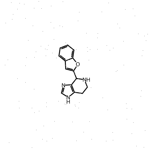 c1ccc2oc(C3NCCc4[nH]cnc43)cc2c1